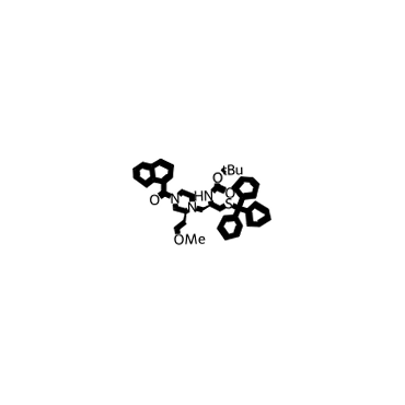 COCC[C@H]1CN(C(=O)c2cccc3ccccc23)CCN1C[C@H](CSC(c1ccccc1)(c1ccccc1)c1ccccc1)NC(=O)OC(C)(C)C